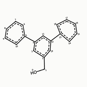 OCc1cc(-c2ccccc2)cc(-c2ccccc2)c1